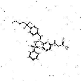 CCCCC(C)(C)c1ccc(CC(NS(=O)(=O)c2ccccn2)c2cccc(NCC(=O)O)n2)cc1